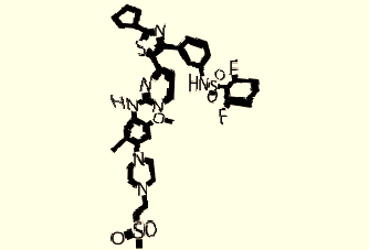 COc1cc(N2CCN(CCS(C)(=O)=O)CC2)c(C)cc1Nc1nccc(-c2sc(C3CCCC3)nc2C2=CC(NS(=O)(=O)C3C(F)=CC=CC3F)CC=C2)n1